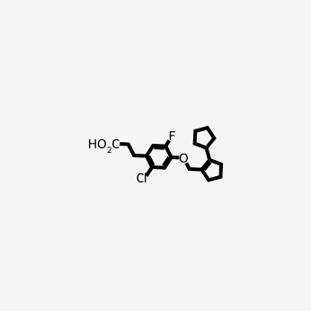 O=C(O)CCc1cc(F)c(OCC2=C(C3CCCC3)CCC2)cc1Cl